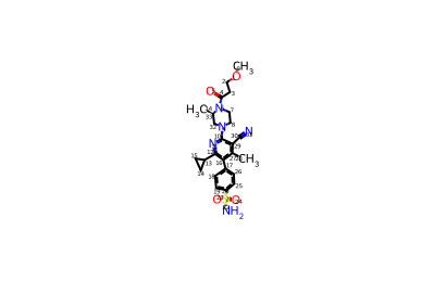 COCCC(=O)N1CCN(c2nc(C3CC3)c(-c3ccc(S(N)(=O)=O)cc3)c(C)c2C#N)C[C@H]1C